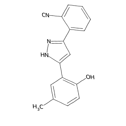 [C-]#[N+]c1ccccc1-c1cc(-c2cc(C)ccc2O)[nH]n1